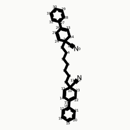 N#CC1(CCCCCCCC2(C#N)C=CC(c3ccccc3)=CC2)C=CC(c2ccccc2)=CC1